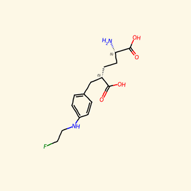 N[C@@H](CC[C@@H](Cc1ccc(NCCF)cc1)C(=O)O)C(=O)O